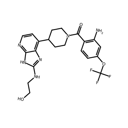 Nc1cc(OC(F)(F)F)ccc1C(=O)N1CCC(c2ccnc3[nH]c(NCCO)nc23)CC1